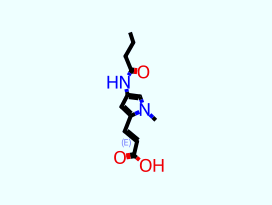 CCCC(=O)Nc1cc(/C=C/C(=O)O)n(C)c1